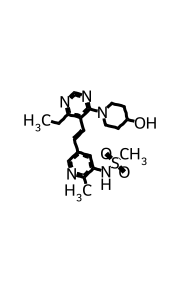 CCc1ncnc(N2CCC(O)CC2)c1C=Cc1cnc(C)c(NS(C)(=O)=O)c1